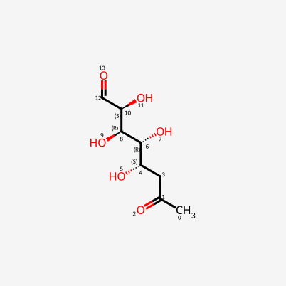 CC(=O)C[C@H](O)[C@@H](O)[C@@H](O)[C@H](O)C=O